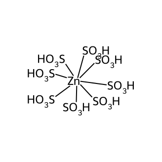 O=[S](=O)(O)[Zn]([S](=O)(=O)O)([S](=O)(=O)O)([S](=O)(=O)O)([S](=O)(=O)O)([S](=O)(=O)O)([S](=O)(=O)O)[S](=O)(=O)O